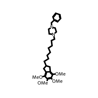 COc1c2c(c(OC)c(OC)c1OC)CC(CCCCCCCCN1CCN(Cc3ccccc3)CC1)C2